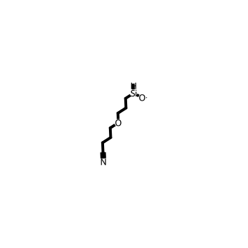 C[SiH]([O])CCCOCCCC#N